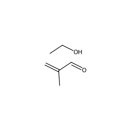 C=C(C)C=O.CCO